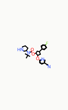 CC(C)(C)N(C(=O)OC1CC(c2ccc(F)cc2)CC1Oc1ccc(C#N)cn1)C1CCCNC1